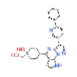 OCC1(O)CCC(c2nc3c(-c4ccc(-c5ccccc5)nc4)cnn3c3[nH]ccc23)CC1